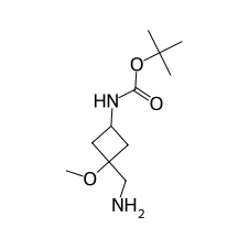 COC1(CN)CC(NC(=O)OC(C)(C)C)C1